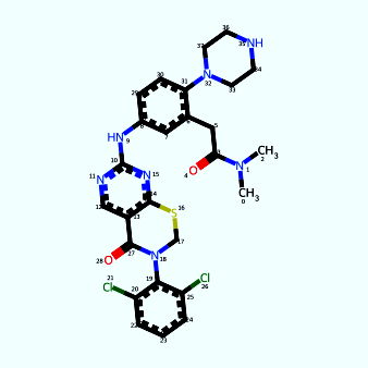 CN(C)C(=O)Cc1cc(Nc2ncc3c(n2)SCN(c2c(Cl)cccc2Cl)C3=O)ccc1N1CCNCC1